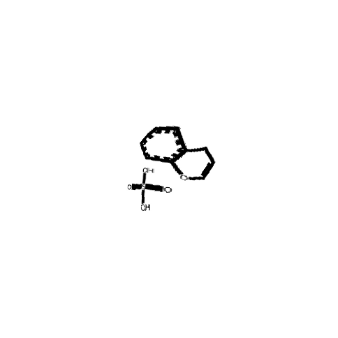 C1=COc2ccccc2C1.O=S(=O)(O)O